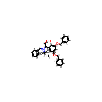 CC(C)(C)N(Cc1ccccc1)C(CO)c1cc(OCc2ccccc2)cc(OCc2ccccc2)c1